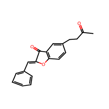 CC(=O)CCc1ccc2c(c1)C(=O)/C(=C/c1ccccc1)O2